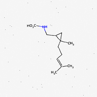 CC(C)=CCCC1(C)CC1CNC(=O)O